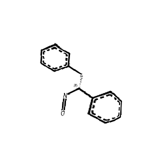 O=N[C@H](Cc1ccccc1)c1ccccc1